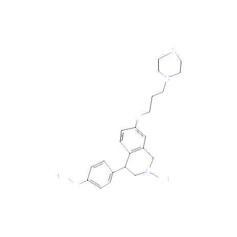 COc1ccc(C2CN(C)Cc3cc(OCCCN4CCNCC4)ccc32)cc1